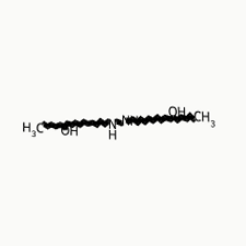 CCCCCCC(O)CCCCCCCCCCCNCCNCCCCCCCCCCCC(O)CCCCCC